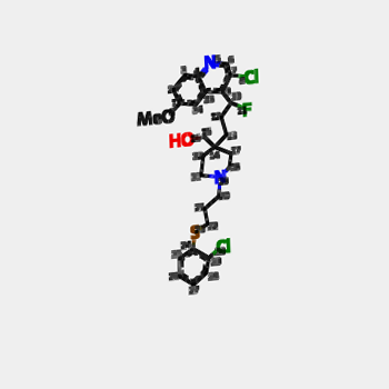 COc1ccc2ncc(Cl)c(C(F)CCC3(CO)CCN(CCCSc4ccccc4Cl)CC3)c2c1